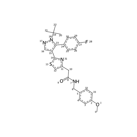 COc1ccc(CNC(=O)Cc2csc(-c3cnn(C(C)(C)C)c3-c3ccc(F)cc3)n2)cc1